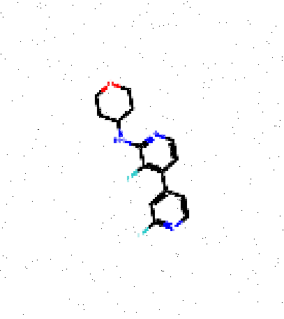 Fc1cc(-c2ccnc(NC3CCOCC3)c2F)ccn1